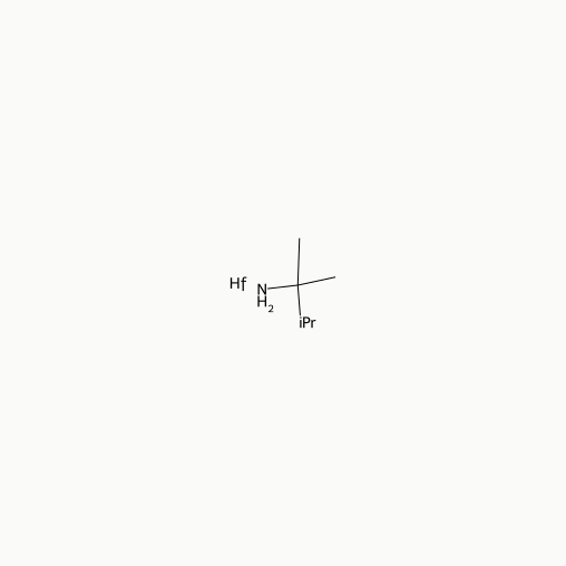 CC(C)C(C)(C)N.[Hf]